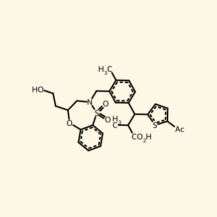 CC(=O)c1ccc(C(c2ccc(C)c(CN3CC(CCO)Oc4ccccc4S3(=O)=O)c2)C(C)C(=O)O)s1